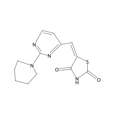 O=C1NC(=O)/C(=C\c2ccnc(N3CCCCC3)n2)S1